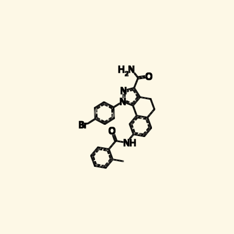 Cc1ccccc1C(=O)Nc1ccc2c(c1)-c1c(c(C(N)=O)nn1-c1ccc(Br)cc1)CC2